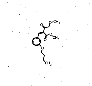 CCCCOc1cccc(C=C(C(=O)COC)C(=O)OC)c1